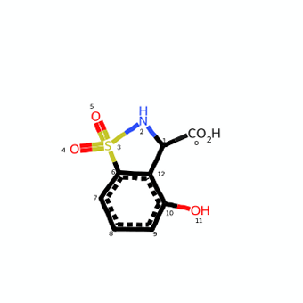 O=C(O)C1NS(=O)(=O)c2cccc(O)c21